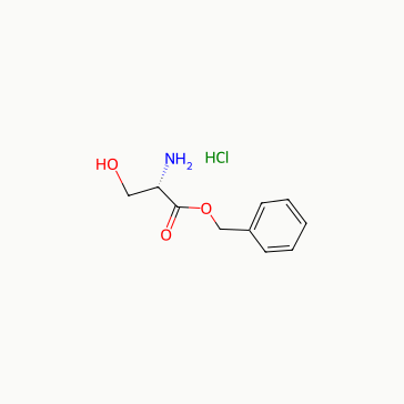 Cl.N[C@@H](CO)C(=O)OCc1ccccc1